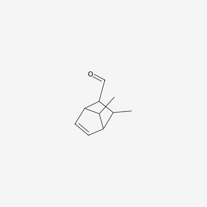 CC1C2C=CC(C2C)C1C=O